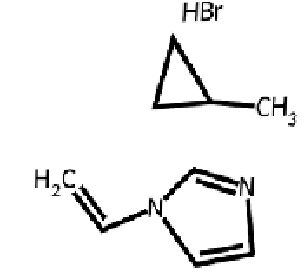 Br.C=Cn1ccnc1.CC1CC1